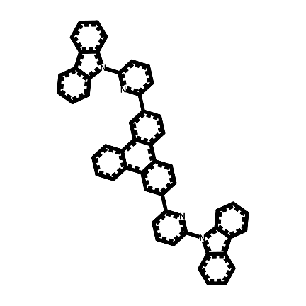 c1cc(-c2ccc3c4ccc(-c5cccc(-n6c7ccccc7c7ccccc76)n5)cc4c4ccccc4c3c2)nc(-n2c3ccccc3c3ccccc32)c1